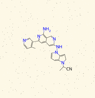 Cc1ccncc1-c1cc2cc(NN3C=CC=C4C3=CCN4C(C)C#N)ncc2c(N)n1